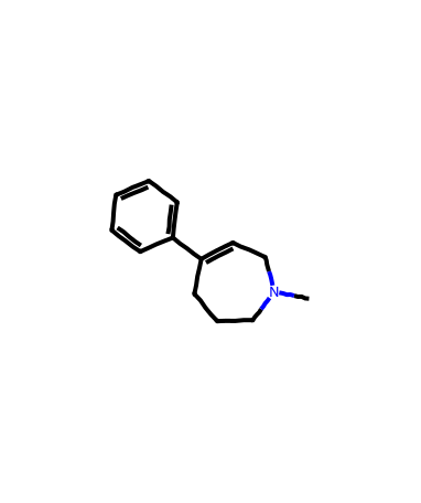 CN1CC=C(c2ccccc2)CCC1